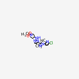 CS(=O)(=O)N1CCC(Nc2ncc(C(F)(F)F)c(-c3cn(-c4ccc(Cl)nc4C#N)cn3)n2)CC1